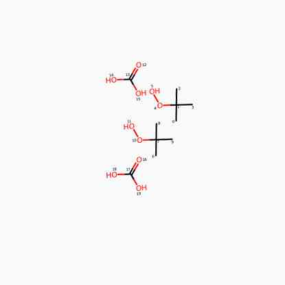 CC(C)(C)OO.CC(C)(C)OO.O=C(O)O.O=C(O)O